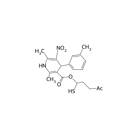 CC(=O)CCC(S)OC(=O)C1=C(C)NC(C)=C([N+](=O)[O-])C1c1cccc(C)c1